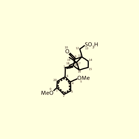 COc1ccc(OC)c(C=C2C(=O)C3(CS(=O)(=O)O)CCC2C3(C)C)c1